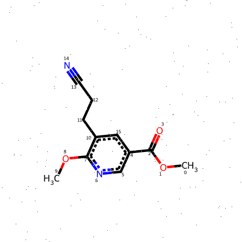 COC(=O)c1cnc(OC)c(CCC#N)c1